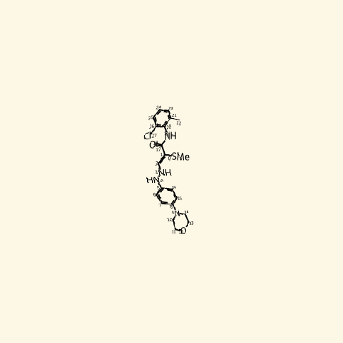 CS/C(=C\NNc1ccc(N2CCOCC2)cc1)C(=O)Nc1c(C)cccc1Cl